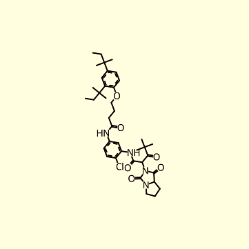 CCC(C)(C)c1ccc(OCCCC(=O)Nc2ccc(Cl)c(NC(=O)C(C(=O)C(C)(C)C)N3C(=O)C4CCCN4C3=O)c2)c(C(C)(C)CC)c1